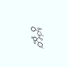 Cc1ccc(-c2[nH]ncc2C(=O)N2CC(O)(c3ccccc3)CC2C)cc1